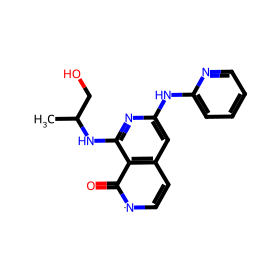 CC(CO)Nc1nc(Nc2ccccn2)cc2c1C(=O)[N]C=C2